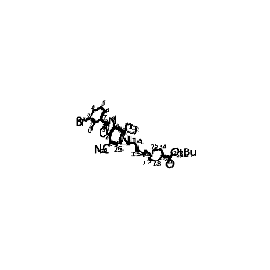 Cc1c(Br)cccc1-c1nc2c(=O)n(CCN3CCC(C(=O)OC(C)(C)C)CC3)cc(C#N)c2o1